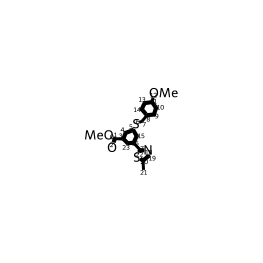 COC(=O)c1cc(SCc2ccc(OC)cc2)cc(-c2ncc(C)s2)c1